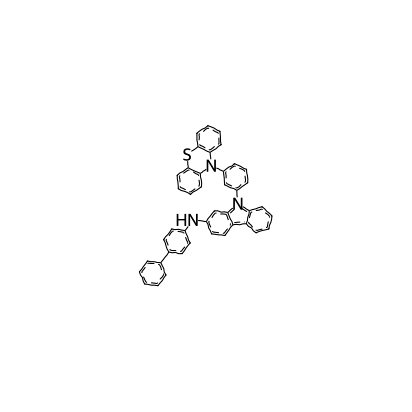 c1ccc(-c2ccc(Nc3ccc4c5ccccc5n(-c5cccc(N6c7ccccc7Sc7ccccc76)c5)c4c3)cc2)cc1